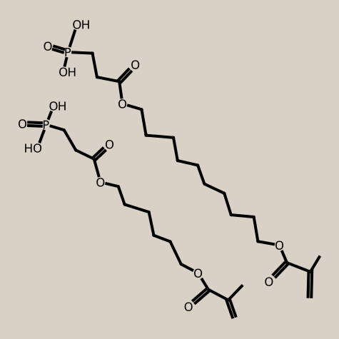 C=C(C)C(=O)OCCCCCCCCCCOC(=O)CCP(=O)(O)O.C=C(C)C(=O)OCCCCCCOC(=O)CCP(=O)(O)O